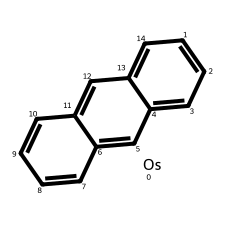 [Os].c1ccc2cc3ccccc3cc2c1